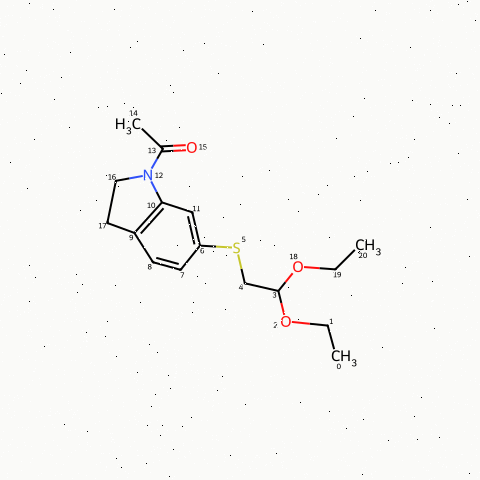 CCOC(CSc1ccc2c(c1)N(C(C)=O)CC2)OCC